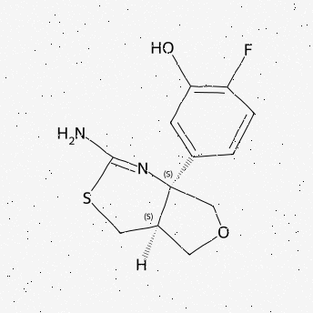 NC1=N[C@@]2(c3ccc(F)c(O)c3)COC[C@H]2CS1